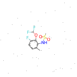 [CH2]c1ccc(F)c(OC(F)F)c1NS(C)(=O)=O